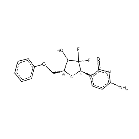 Nc1ccn([C@H]2O[C@@H](COc3cc[c]cc3)C(O)C2(F)F)c(=O)n1